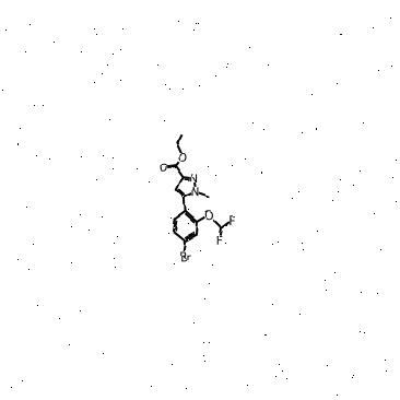 CCOC(=O)c1cc(-c2ccc(Br)cc2OC(F)F)n(C)n1